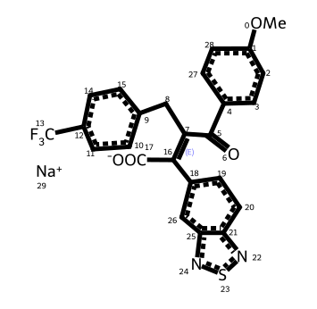 COc1ccc(C(=O)/C(Cc2ccc(C(F)(F)F)cc2)=C(/C(=O)[O-])c2ccc3nsnc3c2)cc1.[Na+]